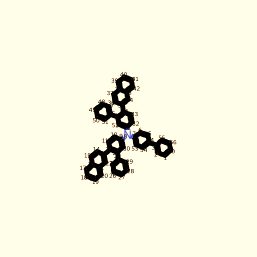 c1ccc(-c2ccc(N(c3ccc(-c4ccc5ccccc5c4)c(-c4ccccc4)c3)c3ccc(-c4ccc5ccccc5c4)c(-c4ccccc4)c3)cc2)cc1